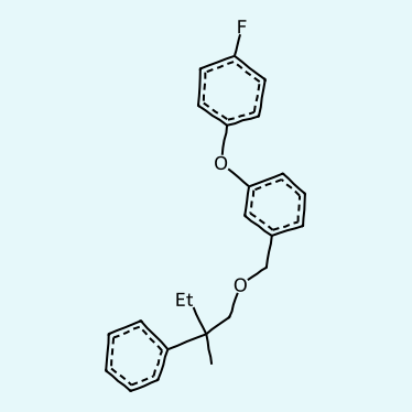 CCC(C)(COCc1cccc(Oc2ccc(F)cc2)c1)c1ccccc1